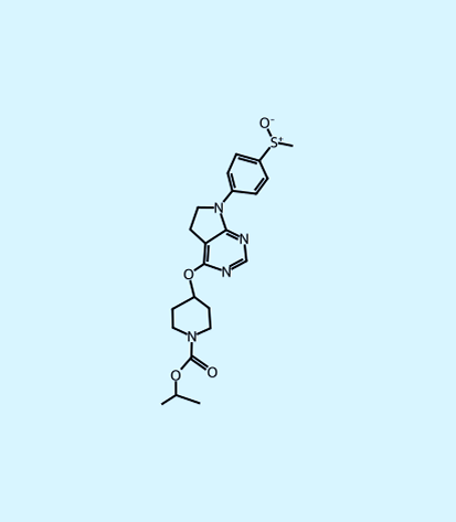 CC(C)OC(=O)N1CCC(Oc2ncnc3c2CCN3c2ccc([S+](C)[O-])cc2)CC1